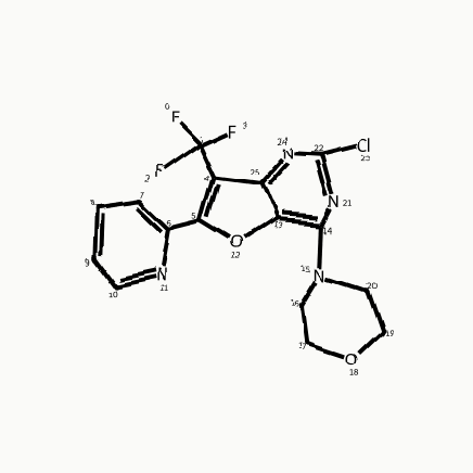 FC(F)(F)c1c(-c2ccccn2)oc2c(N3CCOCC3)nc(Cl)nc12